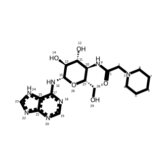 O=C(CN1CCCCC1)N[C@@H]1[C@@H](O)[C@H](O)[C@@H](Nc2ncnc3nc[nH]c23)O[C@H]1CO